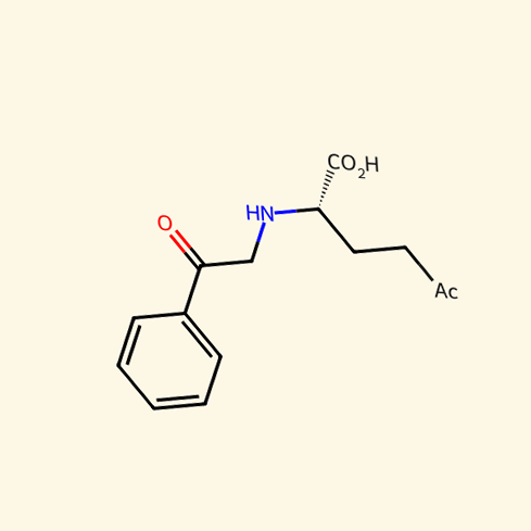 CC(=O)CC[C@H](NCC(=O)c1ccccc1)C(=O)O